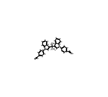 CC(C)(c1cn(-c2ccc(C#N)cc2)c2ccccc12)c1cn(-c2ccc(C#N)cc2)c2ccccc12